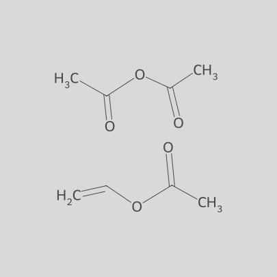 C=COC(C)=O.CC(=O)OC(C)=O